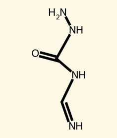 N=CNC(=O)NN